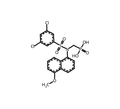 COc1cccc2c(N(CP(=O)(O)O)S(=O)(=O)c3cc(Cl)cc(Cl)c3)cccc12